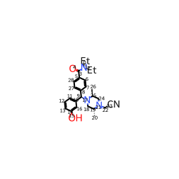 CCN(CC)C(=O)c1ccc([C@H](c2cccc(O)c2)N2C[C@@H](C)N(CC#N)C[C@@H]2C)cc1